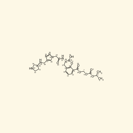 CC(C)OC(=O)OCOC(=O)c1cccc2c1OB(O)[C@@H](NC(=O)Cn1cc(CN[C@H]3CCNC3)nn1)C2